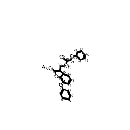 CC(=O)Oc1oc2c(Oc3ccccc3)cccc2c1CNC(=O)COc1ccccc1